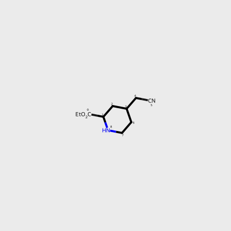 CCOC(=O)C1CC(CC#N)CCN1